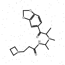 CC(NC(=O)CCN1CCC1)N(C)C(C)C(=O)c1ccc2c(c1)OCO2